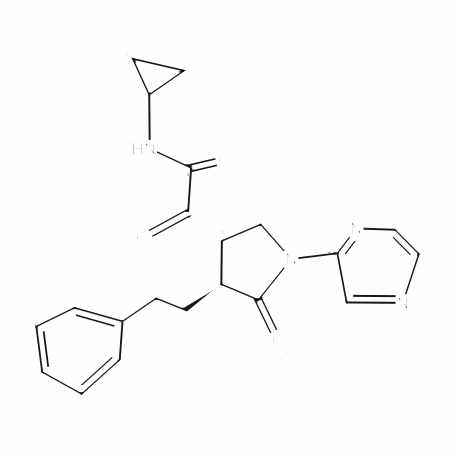 O=C(NC1CC1)C(=O)[C@@H]1CN(c2cnccn2)C(=O)[C@H]1CCc1ccccc1